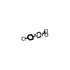 O=C(Cl)N1CCN(c2ccc(Cl)cc2)CC1